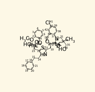 COc1cccc([C@H]2O[C@H](Cc3nc(CCc4ccccc4)c(CC(=O)O)s3)C(=O)N(CC(C)(C)CO)c3ccc(Cl)cc32)c1OC